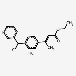 CCOC(=O)C=C(C)c1ccc(C(Cl)c2cccnc2)cc1.Cl